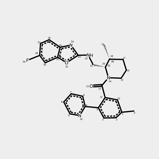 Cc1ccc(-c2ccccn2)c(C(=O)N2CCC[C@@H](C)[C@H]2CNc2nc3ccc(F)cc3o2)c1